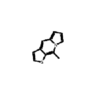 Cc1c2sccc2cc2cccn12